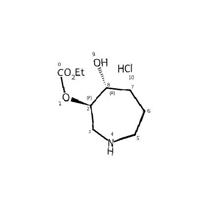 CCOC(=O)O[C@@H]1CNCCC[C@H]1O.Cl